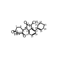 Cn1c(=O)n(C2CCC(=O)NC2=O)c2cccc(C3=CCCCC3)c21